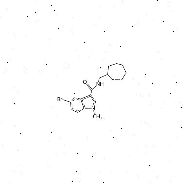 Cn1cc(C(=O)NCC2CCCCCC2)c2cc(Br)ccc21